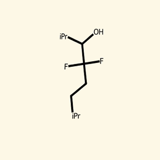 CC(C)CCC(F)(F)C(O)C(C)C